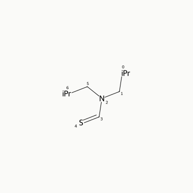 CC(C)CN(C=S)CC(C)C